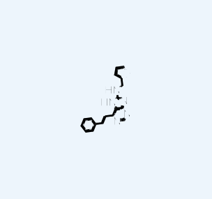 C(=Cc1ncnc2nc(NCc3ccco3)[nH]c12)c1ccccc1